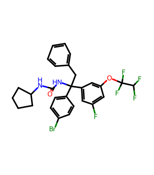 O=C(NC1CCCC1)NC(Cc1ccccc1)(c1ccc(Br)cc1)c1cc(F)cc(OC(F)(F)C(F)F)c1